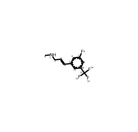 CNCC=Cc1cc(F)cc(C(F)(F)F)c1